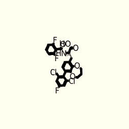 O=C(N[C@@H](Cc1ccc(-c2c(Cl)cc(F)cc2Cl)c2c1OCCCO2)C(=O)O)c1c(F)cccc1F